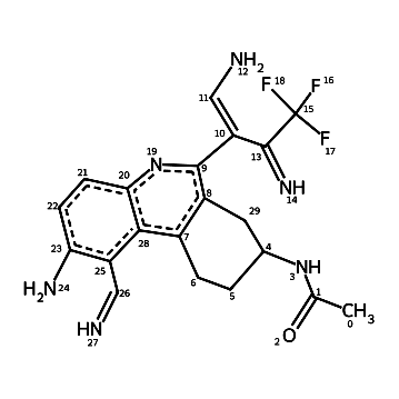 CC(=O)NC1CCc2c(c(/C(=C/N)C(=N)C(F)(F)F)nc3ccc(N)c(C=N)c23)C1